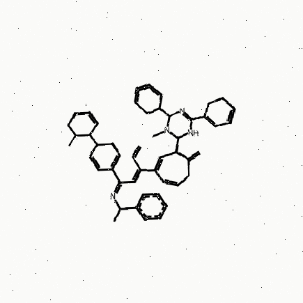 C=C/C(=C\C(=N/C(C)c1ccccc1)C1=CCC(C2C=CCCC2C)C=C1)C1=CC(C2NC(C3=CC=CCC3)=NC(C3C=C=C=CC3)N2C)C(=C)CC=C1